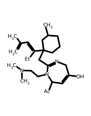 C=C(C)/C=C(\CC)C1(CC2=NCC(O)=CC(C(C)=O)N2CCN(C)C)CCCC(C)C1